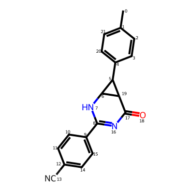 Cc1ccc(C2C3NC(c4ccc(C#N)cc4)=NC(=O)C32)cc1